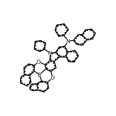 c1ccc(N(c2ccc3ccccc3c2)c2cc3c(c4ccccc24)c2cc4c5c(c2n3-c2ccccc2)Oc2ccc3ccccc3c2B5c2c(ccc3ccccc23)O4)cc1